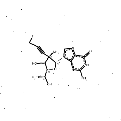 C[C@H](O)[C@H]1O[C@@H](n2cnc3c(=O)[nH]c(N)nc32)[C@@](N)(C#CCF)C1O